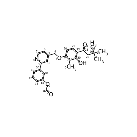 Cc1c(OCc2ccnc(-c3cccc(OC=O)c3)c2)ccc(C(=O)CC(C)(C)C)c1O